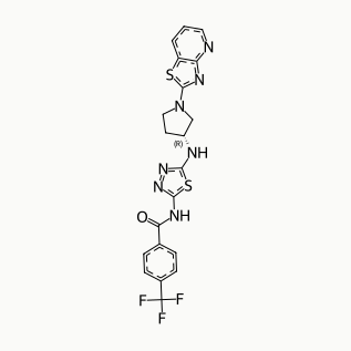 O=C(Nc1nnc(N[C@@H]2CCN(c3nc4ncccc4s3)C2)s1)c1ccc(C(F)(F)F)cc1